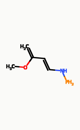 C=C(/C=C/NP)OC